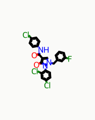 O=C(Nc1ccc(Cl)cc1)c1cn(Cc2cccc(F)c2)n(-c2ccc(Cl)cc2Cl)c1=O